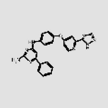 Nc1nc(Nc2ccc(Oc3ccnc(-c4nnn[nH]4)c3)cc2)cc(-c2ccccc2)n1